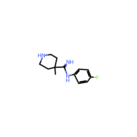 CC1(C(=N)Nc2ccc(F)cc2)CCNCC1